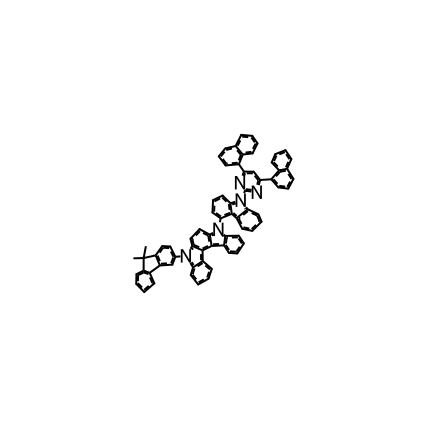 CC1(C)c2ccccc2-c2cc(-n3c4ccccc4c4c5c6ccccc6n(-c6cccc7c6c6ccccc6n7-c6nc(-c7cccc8ccccc78)cc(-c7cccc8ccccc78)n6)c5ccc43)ccc21